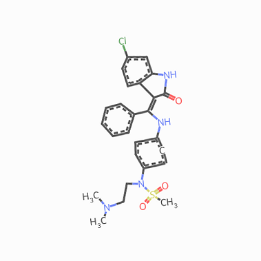 CN(C)CCN(c1ccc(N/C(=C2\C(=O)Nc3cc(Cl)ccc32)c2ccccc2)cc1)S(C)(=O)=O